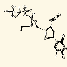 CCNP(=O)(OC[C@H]1O[C@@H](n2cc(C)c(=O)[nH]c2=O)C[C@H]1N=[N+]=[N-])OP(=O)(O)C(F)(F)P(=O)(O)O